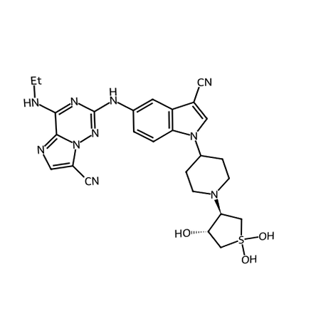 CCNc1nc(Nc2ccc3c(c2)c(C#N)cn3C2CCN([C@H]3CS(O)(O)C[C@@H]3O)CC2)nn2c(C#N)cnc12